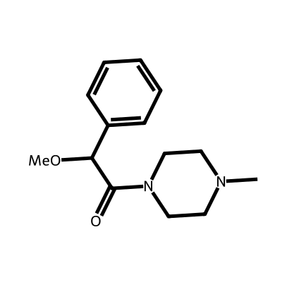 COC(C(=O)N1CCN(C)CC1)c1ccccc1